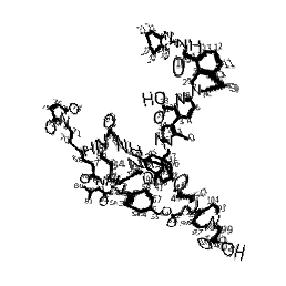 Cc1c(-c2ccc(N3CCc4cccc(C(=O)Nc5nc6ccccc6s5)c4C3)nc2C(=O)O)cnn1CC12CC3(C)CC(C)(C1)CC(OCCN(C(=O)OCc1ccc(N(C(=O)[C@@H](NC(=O)CCCCCN4C(=O)C=CC4=O)C(C)C)[C@@H](CCCNC(N)=O)C(N)=O)cc1)C1CCN(CC(=O)O)CC1)(C3)C2